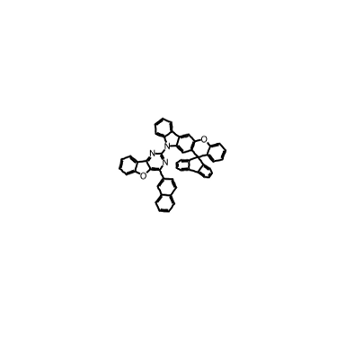 c1ccc2c(c1)Oc1cc3c4ccccc4n(-c4nc(-c5ccc6ccccc6c5)c5oc6ccccc6c5n4)c3cc1C21c2ccccc2-c2ccccc21